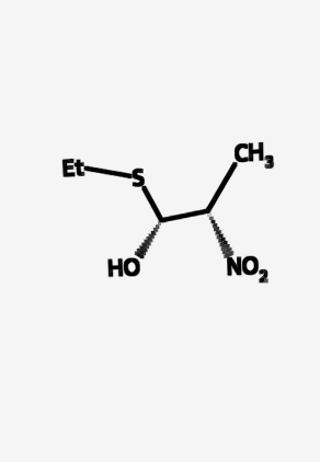 CCS[C@@H](O)[C@H](C)[N+](=O)[O-]